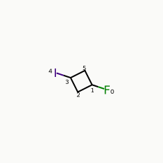 FC1CC(I)C1